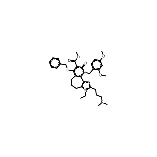 CCn1c(CCCN(C)C)nc2c1CCCc1c(OCc3ccccc3)c(C(=O)OC)c(=O)n(Cc3ccc(OC)cc3OC)c1-2